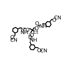 CCC(COCN(N)CC1CCCC(COC#N)C1)(COONCC1CCCC(COC#N)C1)COC(=O)NCC1CCCC(COC#N)C1